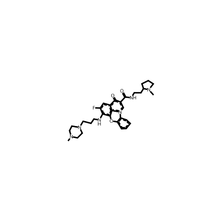 CN1CCN(CCCNc2c(F)cc3c(=O)c(C(=O)NCCC4CCCN4C)cn4c3c2Oc2ccccc2-4)CC1